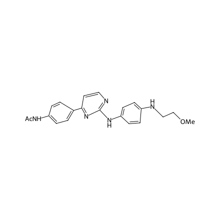 COCCNc1ccc(Nc2nccc(-c3ccc(NC(C)=O)cc3)n2)cc1